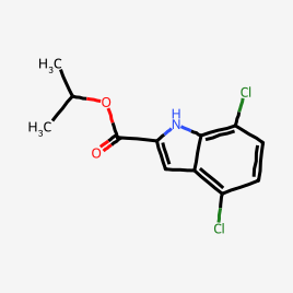 CC(C)OC(=O)c1cc2c(Cl)ccc(Cl)c2[nH]1